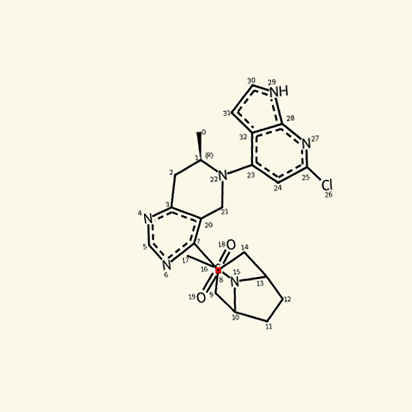 C[C@@H]1Cc2ncnc(C3CC4CCC(C3)N4S(C)(=O)=O)c2CN1c1cc(Cl)nc2[nH]ccc12